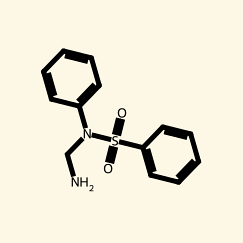 NCN(c1ccccc1)S(=O)(=O)c1ccccc1